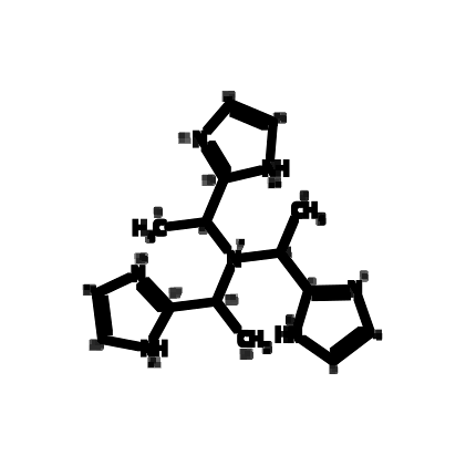 CC(c1ncc[nH]1)N(C(C)c1ncc[nH]1)C(C)c1ncc[nH]1